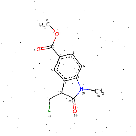 COC(=O)c1ccc2c(c1)C(CF)C(=O)N2C